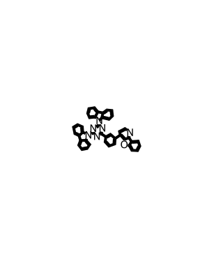 c1cc(-c2nc(-n3c4ccccc4c4ccccc43)nc(-n3c4ccccc4c4ccccc43)n2)cc(-c2ccnc3c2oc2ccccc23)c1